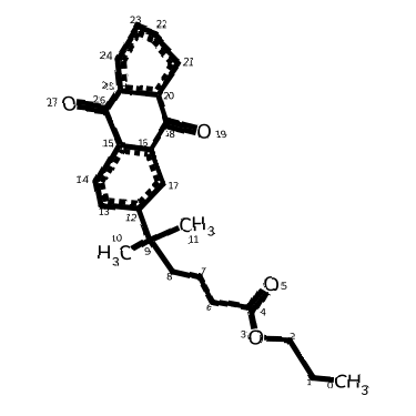 CCCOC(=O)CCCC(C)(C)c1ccc2c(c1)C(=O)c1ccccc1C2=O